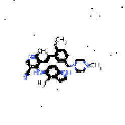 CCc1ccc(CN2CCN(C)CC2)cc1C=Cc1c(C)ncc(C#N)c1Nc1ccc2[nH]ccc2c1C